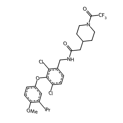 COc1ccc(Oc2c(Cl)ccc(CNC(=O)CC3CCN(C(=O)C(F)(F)F)CC3)c2Cl)cc1C(C)C